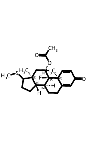 CSC1CC[C@H]2[C@@H]3CCC4=CC(=O)C=C[C@]4(C)[C@@]3(F)[C@@H](OC(C)=O)C[C@]12C